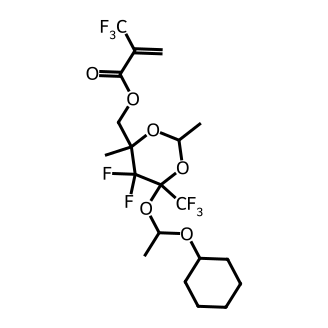 C=C(C(=O)OCC1(C)OC(C)OC(OC(C)OC2CCCCC2)(C(F)(F)F)C1(F)F)C(F)(F)F